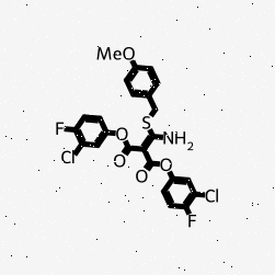 COc1ccc(CSC(N)=C(C(=O)Oc2ccc(F)c(Cl)c2)C(=O)Oc2ccc(F)c(Cl)c2)cc1